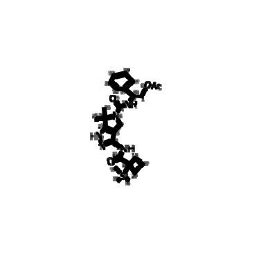 CC(=O)OC[C@@H](NC(=O)N1Cc2c(NC(=O)C3([Si](C)(C)C)CCC3)n[nH]c2C1(C)C)c1ccccc1